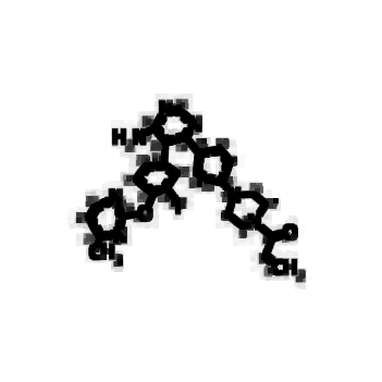 C=CC(=O)N1CCN(c2ccc(-c3ncnc(N)c3-c3ccc(Oc4nccc(C)n4)c(F)c3)cc2)CC1